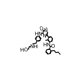 CCCCc1ccccc1C(=O)Nc1cccc(-c2cn(C)c(=O)c(Nc3ccc(CCNCCO)cc3)n2)c1C